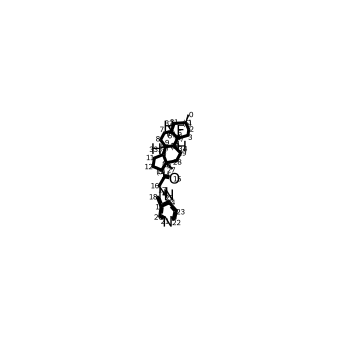 C[C@H]1CC[C@@]2(F)[C@H](CC[C@H]3C4CC[C@H](C(=O)Cn5cc6cnccc6n5)[C@@]4(C)CC[C@@H]32)C1